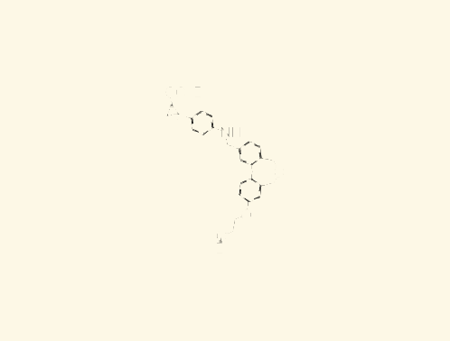 CCOCCOc1ccc2c(c1)COCc1ccc(CNc3ccc([C@H]4C[C@@H]4C(=O)OCC)cc3)cc1-2